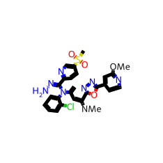 C=C(/C=C(/NC)c1nnc(-c2ccnc(OC)c2)o1)N(/C(=N\N)c1ccc(S(C)(=O)=O)cn1)c1ccccc1Cl